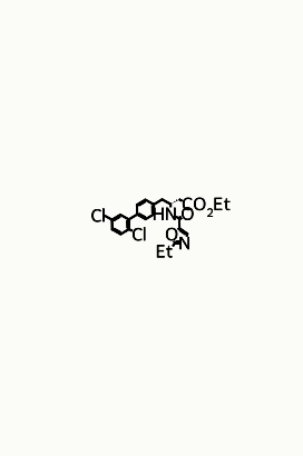 CCOC(=O)C[C@@H](Cc1ccc(-c2cc(Cl)ccc2Cl)cc1)NC(=O)c1cnc(CC)o1